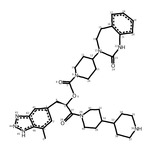 Cc1cc(C[C@@H](OC(=O)N2CCC(N3CCc4ccccc4NC3=O)CC2)C(=O)N2CCC(C3CCNCC3)CC2)cc2nn[nH]c12